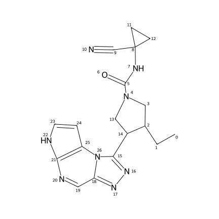 CCC1CN(C(=O)NC2(C#N)CC2)CC1c1nnc2cnc3[nH]ccc3n12